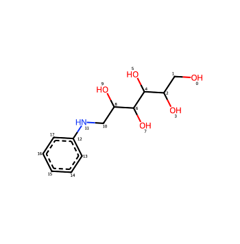 OCC(O)C(O)C(O)C(O)CNc1ccccc1